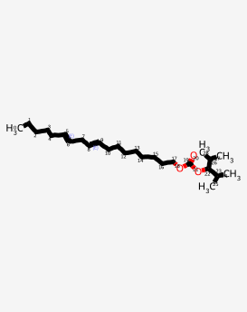 CCCCC/C=C/C/C=C/CCCCCCCCOC(=O)OC(C(C)C)C(C)C